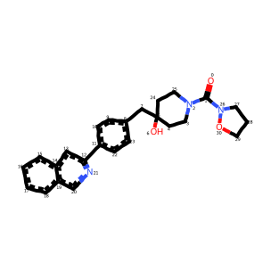 O=C(N1CCC(O)(Cc2ccc(-c3cc4ccccc4cn3)cc2)CC1)N1CCCO1